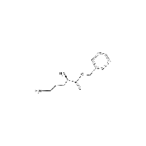 NCCC[C@@H](N)C(=O)OCc1ccccc1